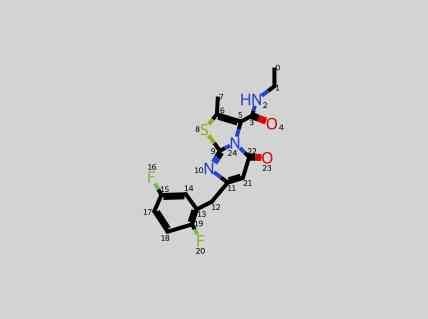 CCNC(=O)c1c(C)sc2nc(Cc3cc(F)ccc3F)cc(=O)n12